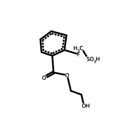 CS(=O)(=O)O.O=C(OCCO)c1ccccc1F